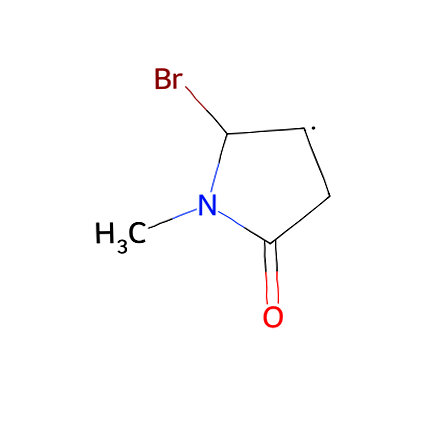 CN1C(=O)C[CH]C1Br